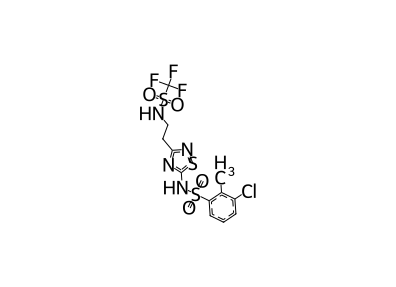 Cc1c(Cl)cccc1S(=O)(=O)Nc1nc(CCNS(=O)(=O)C(F)(F)F)ns1